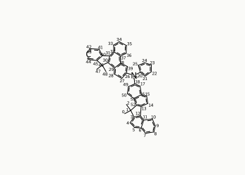 CC1(C)c2ccc3ccccc3c2-c2ccc3cc(N(c4ccccc4)c4ccc5c6c(c7ccccc7c5c4)-c4ccccc4C6(C)C)ccc3c21